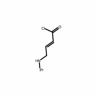 CC(C)NC/C=C/C(=O)Cl